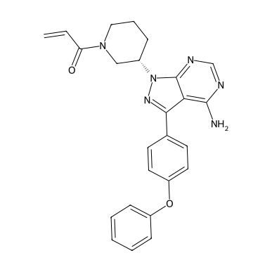 C=CC(=O)N1CCC[C@H](n2nc(-c3ccc(Oc4ccccc4)cc3)c3c(N)ncnc32)C1